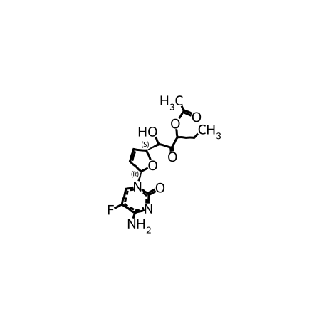 CCC(OC(C)=O)C(=O)C(O)[C@@H]1C=C[C@H](n2cc(F)c(N)nc2=O)O1